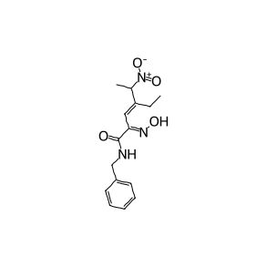 CCC(=CC(=NO)C(=O)NCc1ccccc1)C(C)[N+](=O)[O-]